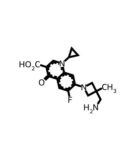 CC1(CN)CN(c2cc3c(cc2F)c(=O)c(C(=O)O)cn3C2CC2)C1